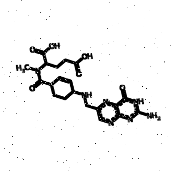 CN(C(=O)C1C=CC(NCc2cnc3nc(N)[nH]c(=O)c3n2)CC1)C(CCC(=O)O)C(=O)O